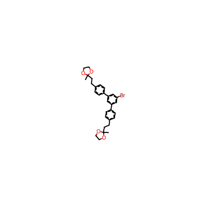 CC1(CCc2ccc(-c3cc(Br)cc(-c4ccc(CCC5(C)OCCO5)cc4)c3)cc2)OCCO1